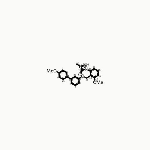 COc1ccc(-c2cccc(OCc3c(OC)cccc3-n3[nH]n(C)c3=O)c2)cc1